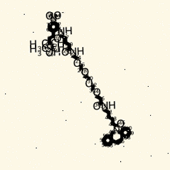 CC(C)(CCc1ccc([N+](=O)[O-])cc1NC(=O)CCCC(=O)NCCOCCOCCOCCOCCC(=O)NCCCCCC(=O)N1Cc2ccccc2C#Cc2ccccc21)[Si](C)(C)O